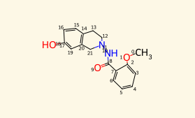 COc1ccccc1C(=O)NN1CCc2ccc(O)cc2C1